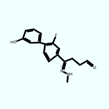 CN/N=C(\CCC=O)c1ccc(-c2cccc(O)c2)c(F)c1